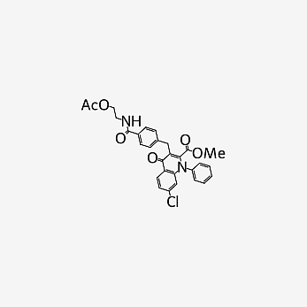 COC(=O)c1c(Cc2ccc(C(=O)NCCOC(C)=O)cc2)c(=O)c2ccc(Cl)cc2n1-c1ccccc1